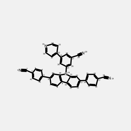 N#Cc1ccc(-c2ccc3c4ccc(-c5ccc(C#N)cc5)cc4n(-c4cc(C#N)cc(-c5ccncc5)c4)c3c2)cc1